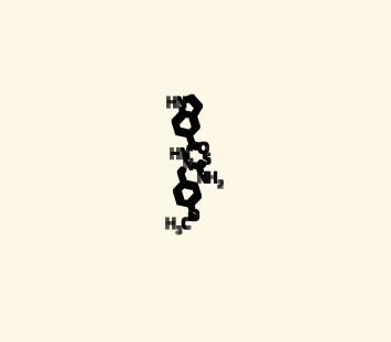 COc1ccc(CN(NC(=O)c2ccc3[nH]ccc3c2)C(N)=S)cc1